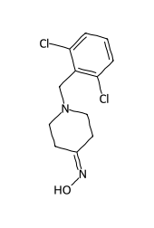 ON=C1CCN(Cc2c(Cl)cccc2Cl)CC1